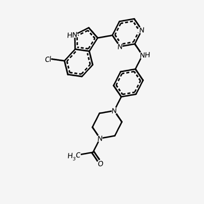 CC(=O)N1CCN(c2ccc(Nc3nccc(-c4c[nH]c5c(Cl)cccc45)n3)cc2)CC1